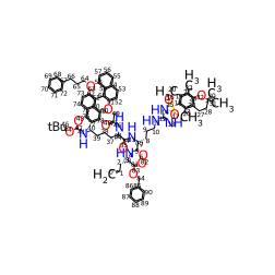 C=CC[C@H](NC(=O)[C@@H](CCCNC(=N)NS(=O)(=O)c1c(C)c(C)c2c(c1C)CCC(C)(C)O2)NC(=O)[C@@H](CCCCNC(=O)OC(C)(C)C)NC(=O)COc1ccc2ccccc2c1-c1c(OCCCc2ccccc2)ccc2ccccc12)C(=O)OCc1ccccc1